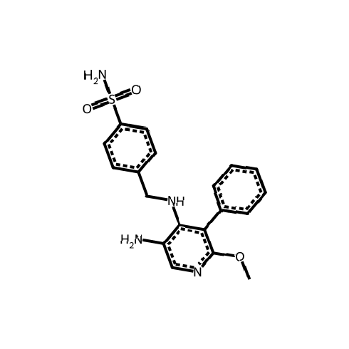 COc1ncc(N)c(NCc2ccc(S(N)(=O)=O)cc2)c1-c1ccccc1